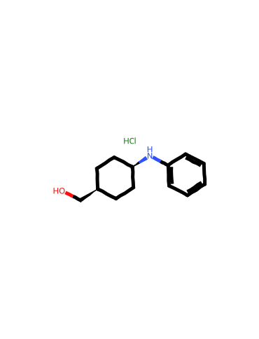 Cl.OC[C@H]1CC[C@@H](Nc2ccccc2)CC1